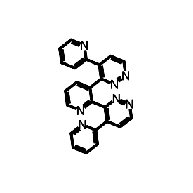 c1ccc(-c2ccnnc2-c2cccnc2-c2nnccc2-c2ccccn2)nc1